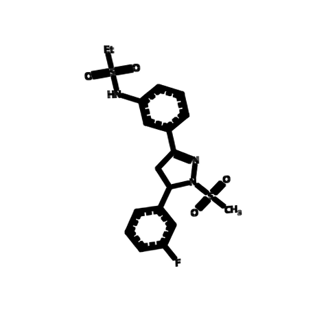 CCS(=O)(=O)Nc1cccc(C2=NN(S(C)(=O)=O)C(c3cccc(F)c3)C2)c1